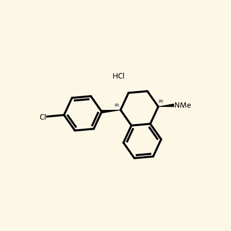 CN[C@@H]1CC[C@H](c2ccc(Cl)cc2)c2ccccc21.Cl